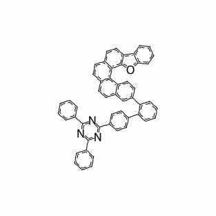 c1ccc(-c2nc(-c3ccccc3)nc(-c3ccc(-c4ccccc4-c4ccc5c(ccc6ccc7ccc8c9ccccc9oc8c7c65)c4)cc3)n2)cc1